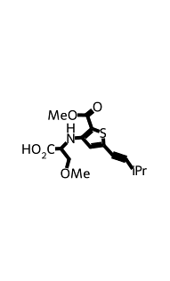 COCC(Nc1cc(C#CC(C)C)sc1C(=O)OC)C(=O)O